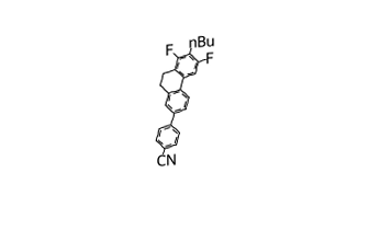 CCCCc1c(F)cc2c(c1F)CCc1cc(-c3ccc(C#N)cc3)ccc1-2